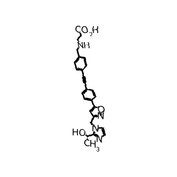 C[C@H](O)c1nccn1Cc1cc(-c2ccc(C#Cc3ccc(CNCCC(=O)O)cc3)cc2)on1